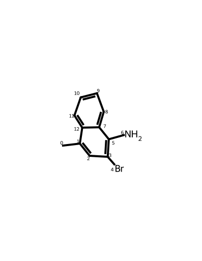 Cc1cc(Br)c(N)c2ccccc12